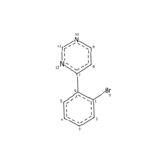 Brc1ccccc1-c1ccncn1